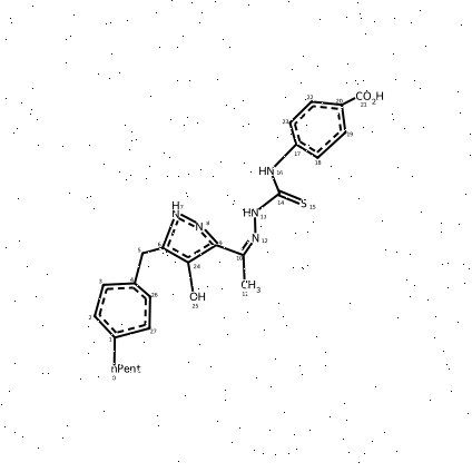 CCCCCc1ccc(Cc2[nH]nc(/C(C)=N\NC(=S)Nc3ccc(C(=O)O)cc3)c2O)cc1